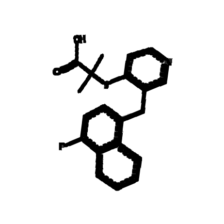 CC(C)(Sc1ccncc1Cc1ccc(F)c2ccccc12)C(=O)O